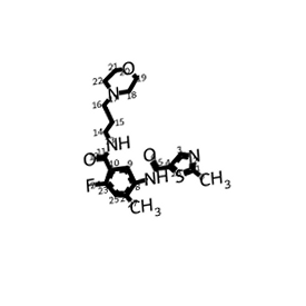 Cc1ncc(C(=O)Nc2cc(C(=O)NCCCN3CCOCC3)c(F)cc2C)s1